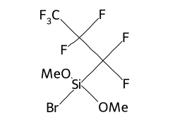 CO[Si](Br)(OC)C(F)(F)C(F)(F)C(F)(F)F